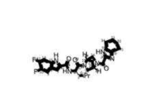 CC(C)C[C@H](NC(=O)c1cc2cc(F)c(F)cc2[nH]1)C(=O)N1C[C@@H]2C[C@H]1CN2C(=O)c1nc2ccccc2[nH]1